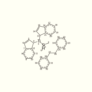 C[SiH](C)[Ti]([CH]1C=Cc2ccccc21)[CH]1C=Cc2ccccc21.c1ccc(CCc2ccccc2)cc1